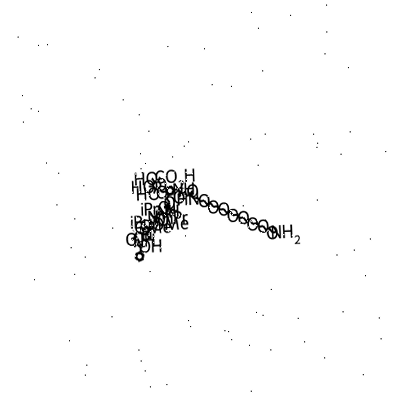 CC[C@H](C)[C@@H]([C@@H](CC(=O)N1CCC[C@H]1[C@H](OC)[C@@H](C)C(=O)N[C@H](C)[C@@H](O)c1ccccc1)OC)N(C)C(=O)[C@@H](NC(=O)[C@H](C(C)C)N(C)C(=O)OCc1cc(NC(=O)CCC(=O)NCCOCCOCCOCCOCCOCCOCCOCCON)ccc1OC1OC(C(=O)O)C(O)C(O)C1O)C(C)C